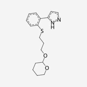 c1ccc(-c2ccn[nH]2)c(SCCCOC2CCCCO2)c1